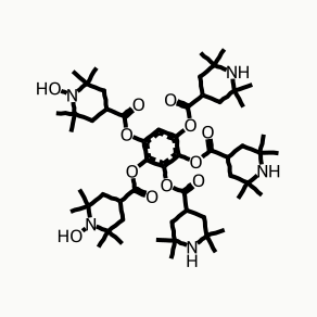 CC1(C)CC(C(=O)Oc2cc(OC(=O)C3CC(C)(C)N(O)C(C)(C)C3)c(OC(=O)C3CC(C)(C)N(O)C(C)(C)C3)c(OC(=O)C3CC(C)(C)NC(C)(C)C3)c2OC(=O)C2CC(C)(C)NC(C)(C)C2)CC(C)(C)N1